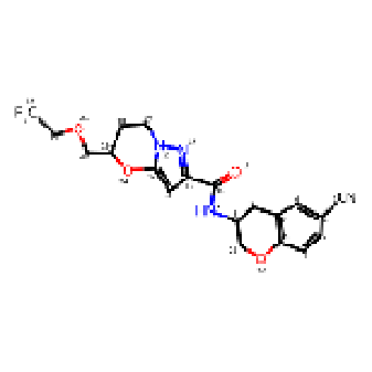 N#Cc1ccc2c(c1)CC(NC(=O)c1cc3n(n1)CCC(COCC(F)(F)F)O3)CO2